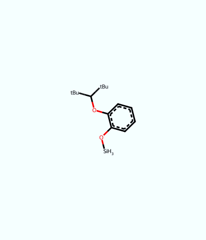 CC(C)(C)C(Oc1ccccc1O[SiH3])C(C)(C)C